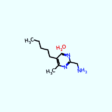 CCCCCc1cnc(CN)nc1C.O